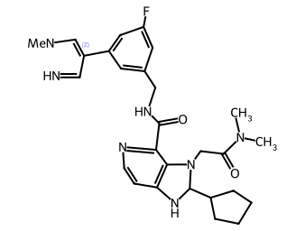 CN/C=C(\C=N)c1cc(F)cc(CNC(=O)c2nccc3c2N(CC(=O)N(C)C)C(C2CCCC2)N3)c1